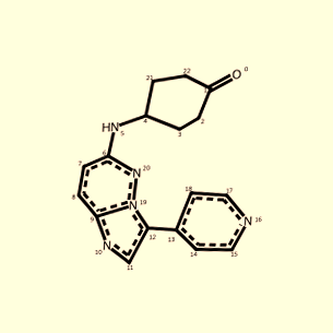 O=C1CCC(Nc2ccc3ncc(-c4ccncc4)n3n2)CC1